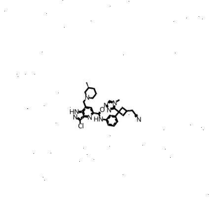 C[C@H]1CCCN(Cc2cc(C(=O)Nc3cccc(C4(c5nncn5C)CC(CC#N)C4)c3)nc3c(Cl)n[nH]c23)C1